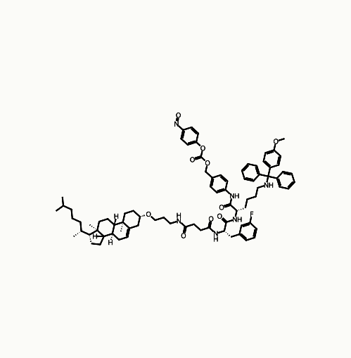 COc1ccc(C(NCCCC[C@H](NC(=O)[C@H](Cc2cccc(F)c2)NC(=O)CCC(=O)NCCCO[C@H]2CC[C@@]3(C)C(=CC[C@H]4[C@@H]5CC[C@H]([C@H](C)CCCC(C)C)[C@@]5(C)CC[C@@H]43)C2)C(=O)Nc2ccc(COC(=O)Oc3ccc(N=O)cc3)cc2)(c2ccccc2)c2ccccc2)cc1